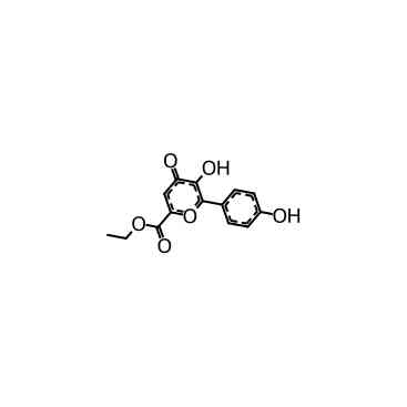 CCOC(=O)c1cc(=O)c(O)c(-c2ccc(O)cc2)o1